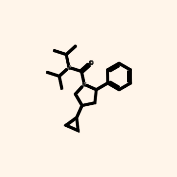 CC(C)N(C(=O)N1CC(C2CC2)CC1c1ccccc1)C(C)C